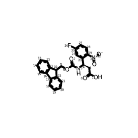 O=C(O)C[C@@H](NC(=O)OCC1c2ccccc2-c2ccccc21)c1cc(F)ccc1[N+](=O)[O-]